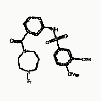 COc1ccc(S(=O)(=O)Nc2cccc(C(=O)N3CCCN(C(C)C)CC3)c2)cc1OC